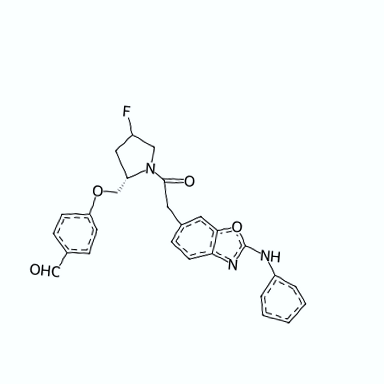 O=Cc1ccc(OC[C@@H]2CC(F)CN2C(=O)Cc2ccc3nc(Nc4ccccc4)oc3c2)cc1